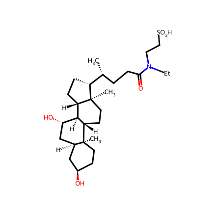 CCN(CCS(=O)(=O)O)C(=O)CC[C@@H](C)[C@H]1CC[C@H]2[C@@H]3[C@@H](O)C[C@@H]4C[C@H](O)CC[C@]4(C)[C@H]3CC[C@]12C